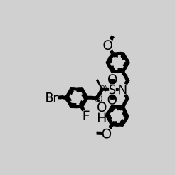 COc1ccc(CN(Cc2ccc(OC)cc2)S(=O)(=O)[C@H](C)[C@@H](O)c2ccc(Br)cc2F)cc1